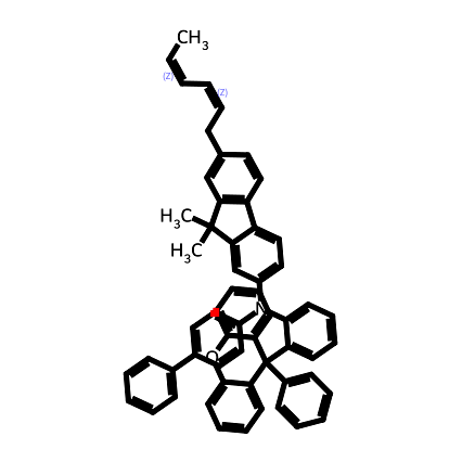 C/C=C\C=C/Cc1ccc2c(c1)C(C)(C)c1cc(N(c3ccc(-c4ccccc4)cc3)c3ccccc3C3(c4ccccc4)c4ccccc4Oc4ccccc43)ccc1-2